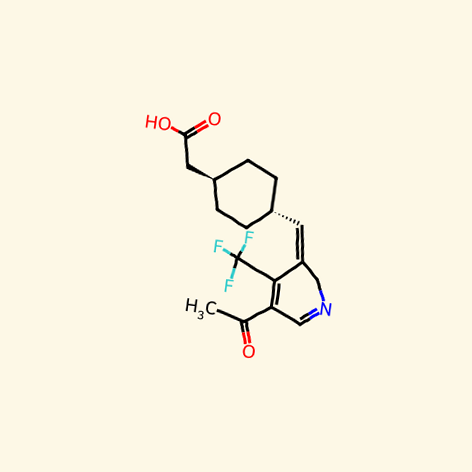 CC(=O)C1=C(C(F)(F)F)/C(=C\[C@H]2CC[C@H](CC(=O)O)CC2)CN=C1